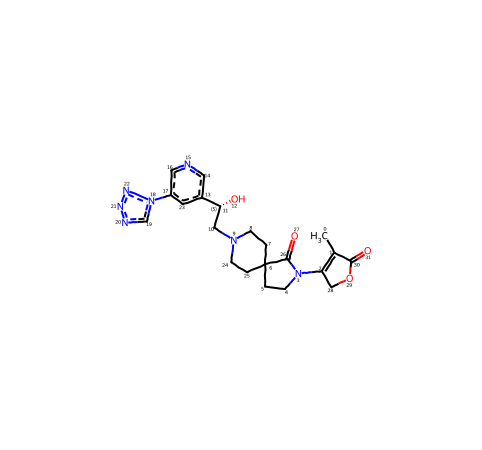 CC1=C(N2CCC3(CCN(C[C@@H](O)c4cncc(-n5cnnn5)c4)CC3)C2=O)COC1=O